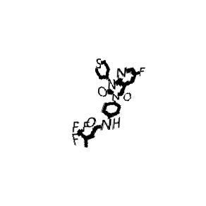 CC(CC(=O)N[C@H]1CC[C@@H](n2c(=O)c3cc(F)cnc3n(C3CCSCC3)c2=O)CC1)C(F)(F)F